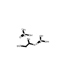 O=[PH](O)O.O=[PH](O)O.OC[CH]([Na])[Na]